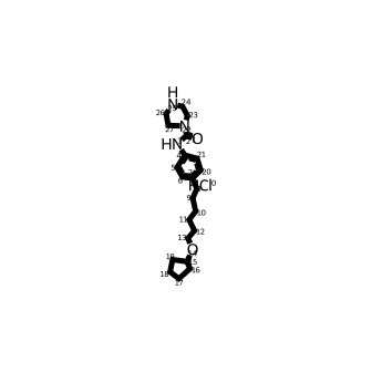 Cl.O=C(Nc1ccc(CCCCCCOC2CCCC2)cc1)N1CCNCC1